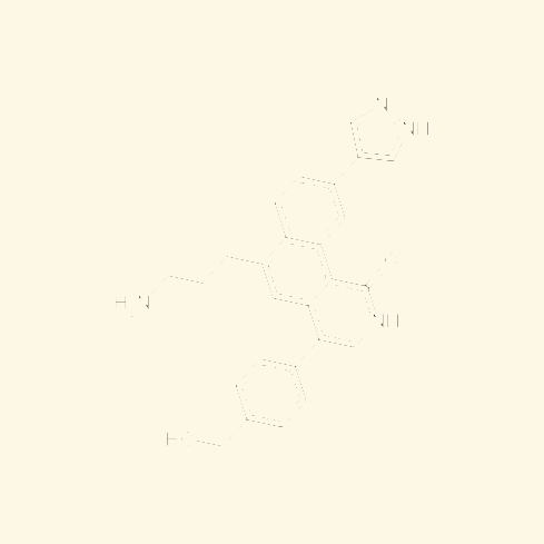 NCCCc1cc2c(-c3ccc(CO)cc3)c[nH]c(=O)c2c2cc(-c3cn[nH]c3)ccc12